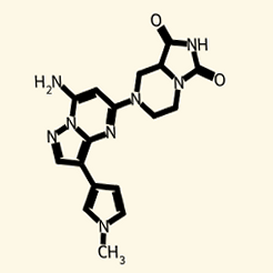 Cn1ccc(-c2cnn3c(N)cc(N4CCN5C(=O)NC(=O)C5C4)nc23)c1